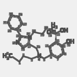 CCCCN(Cc1ccc(O)c(C(=O)O)c1)Cc1cnc(-c2ccccc2)n1CCCC